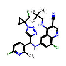 Cc1nc(F)ccc1[C@H](Nc1cc(Cl)c2ncc(C#N)c(NCC(C)(C)C)c2c1)c1cn(C2(CF)CC2)nn1